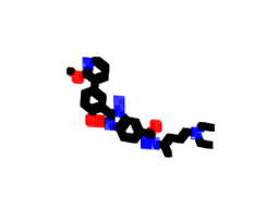 CCN(CC)CCCC(C)NC(=O)c1ccc2nc(-c3cc(-c4cccnc4OC)ccc3O)[nH]c2c1